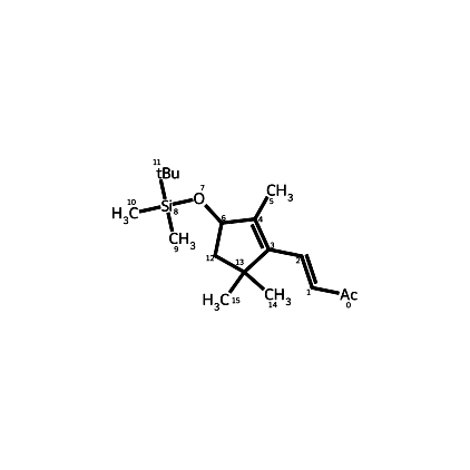 CC(=O)C=CC1=C(C)C(O[Si](C)(C)C(C)(C)C)CC1(C)C